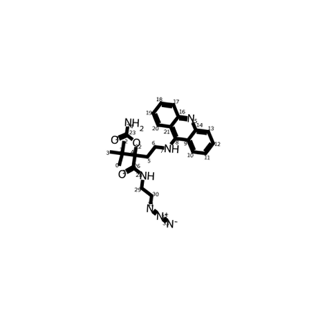 CC(C)(C)C(CCNc1c2ccccc2nc2ccccc12)(OC(N)=O)C(=O)NCCN=[N+]=[N-]